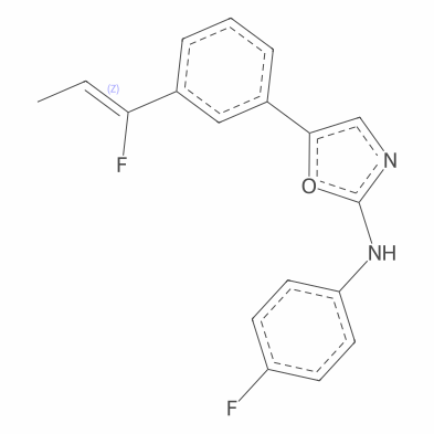 C/C=C(\F)c1cccc(-c2cnc(Nc3ccc(F)cc3)o2)c1